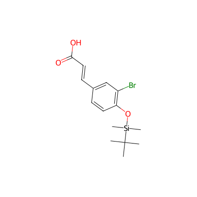 CC(C)(C)[Si](C)(C)Oc1ccc(C=CC(=O)O)cc1Br